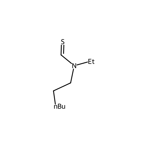 CCCCCCN(C=S)CC